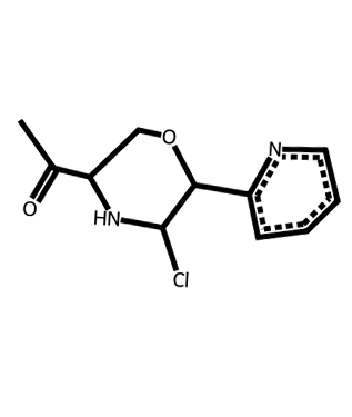 CC(=O)C1COC(c2ccccn2)C(Cl)N1